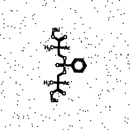 CC(=O)C(C)(COP(=O)(OCC(C)(C(C)=O)C(=O)OC(C)(C)C)c1ccccc1)C(=O)OC(C)(C)C